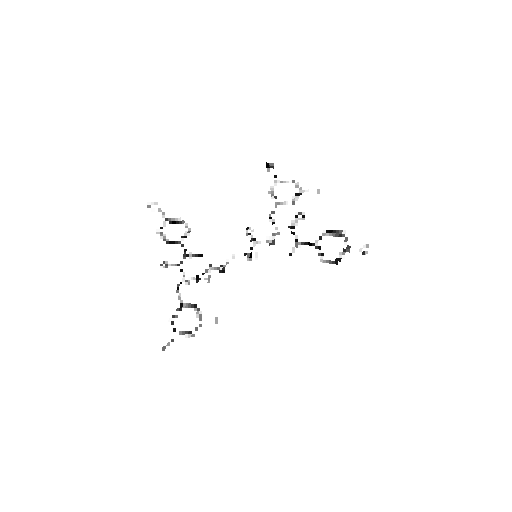 CN(C(=O)[C@H](Cc1cc(F)cc(F)c1)NOSONC(=O)N[C@@H](Cc1cc(F)cc(F)c1)C(=O)N(C)c1ccc(Cl)cc1)c1ccc(Cl)cc1